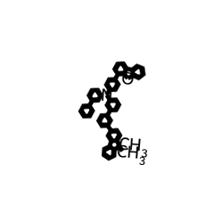 CC1(C)c2ccccc2-c2cc(-c3cccc(-c4cccc(N(c5ccc(-c6cccc7c6oc6ccccc67)cc5)c5cccc(-c6ccccc6)c5)c4)c3)ccc21